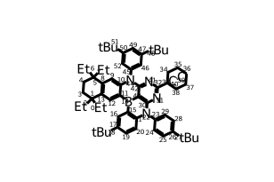 CCC1(CC)CCC(CC)(CC)c2cc3c(cc21)B1c2cc(C(C)(C)C)ccc2N(c2ccc(C(C)(C)C)cc2)c2nc(C45CCC(CC4)CC5)nc(c21)N3c1cc(C(C)(C)C)cc(C(C)(C)C)c1